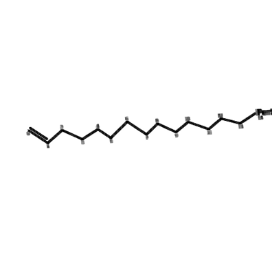 C=CCCCCCCCCCCCCC(C)CCC